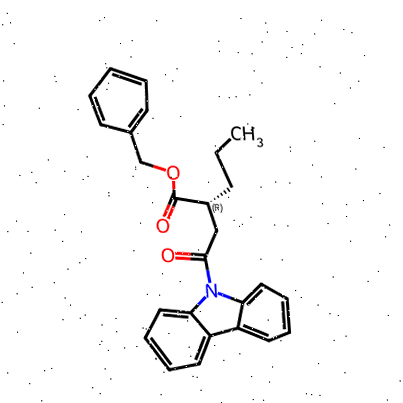 CCC[C@H](CC(=O)n1c2ccccc2c2ccccc21)C(=O)OCc1ccccc1